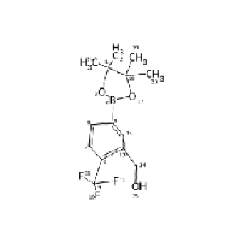 CC1(C)OB(c2ccc(C(F)(F)F)c(CO)c2)OC1(C)C